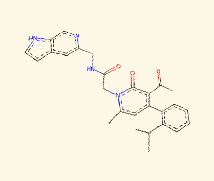 CC(=O)c1c(-c2ccccc2C(C)C)cc(C)n(CC(=O)NCc2cc3cc[nH]c3cn2)c1=O